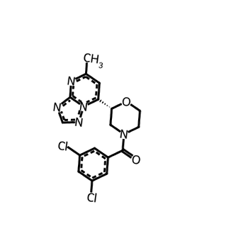 Cc1cc([C@H]2CN(C(=O)c3cc(Cl)cc(Cl)c3)CCO2)n2ncnc2n1